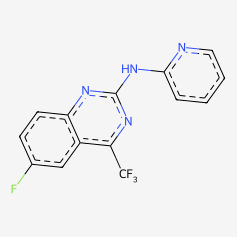 Fc1ccc2nc(Nc3ccccn3)nc(C(F)(F)F)c2c1